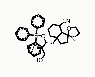 C=C(CO)[C@@H](CC12CCCC(C#N)C1C1(CC2)OCCO1)O[Si](c1ccccc1)(c1ccccc1)c1ccccc1